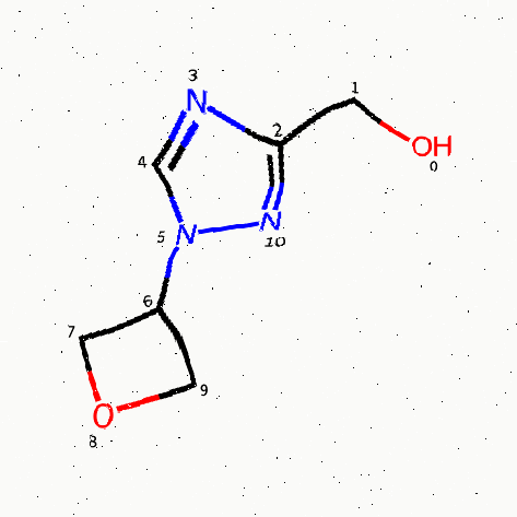 OCc1ncn(C2COC2)n1